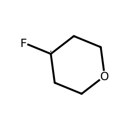 F[C]1CCOCC1